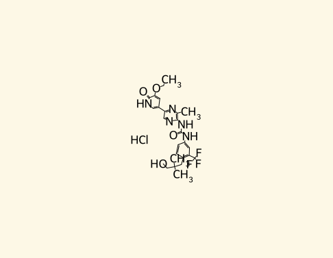 CCOc1cc(-c2cnc(NC(=O)Nc3ccc(CC(C)(C)CO)c(C(F)(F)F)c3)c(C)n2)c[nH]c1=O.Cl